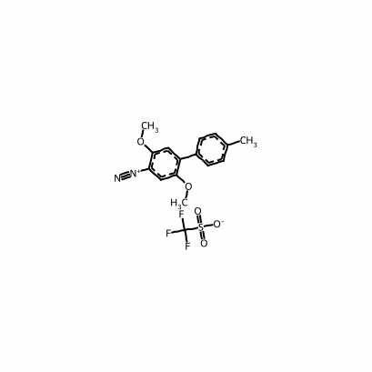 COc1cc(-c2ccc(C)cc2)c(OC)cc1[N+]#N.O=S(=O)([O-])C(F)(F)F